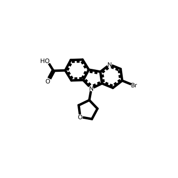 O=C(O)c1ccc2c3ncc(Br)cc3n(C3CCOC3)c2c1